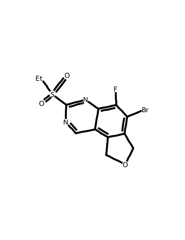 CCS(=O)(=O)c1ncc2c3c(c(Br)c(F)c2n1)COC3